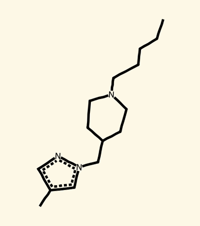 CCCCCN1CCC(Cn2cc(C)cn2)CC1